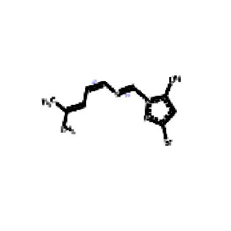 CC(C)=C/C=C\N=C\n1nc(Br)cc1O